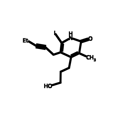 CCC#CCc1c(I)[nH]c(=O)c(C)c1CCCO